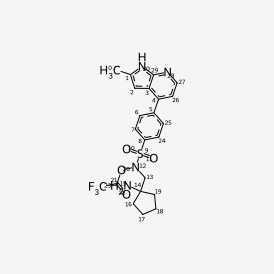 Cc1cc2c(-c3ccc(S(=O)(=O)N(CC4(N)CCCC4)OC(=O)C(F)(F)F)cc3)ccnc2[nH]1